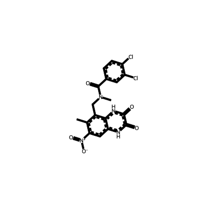 Cc1c([N+](=O)[O-])cc2[nH]c(=O)c(=O)[nH]c2c1CN(C)C(=O)c1ccc(Cl)c(Cl)c1